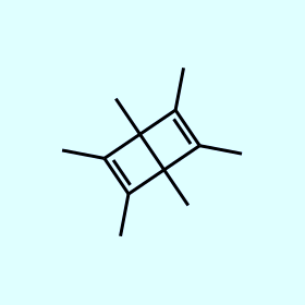 CC1=C(C)C2(C)C(C)=C(C)C12C